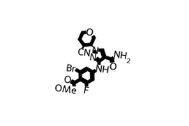 COC(=O)c1c(F)cc(Nc2nn([C@H]3COCC[C@@H]3C#N)cc2C(N)=O)cc1Br